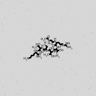 CC(=O)NCC(=O)NC(CCCNC(=N)N)C(=O)NC(C(=O)NC(C(=O)NC(CS)C(=O)NC(C(=O)NC(CCCCN)C(N)=O)C(C)O)C(C)O)C(C)O